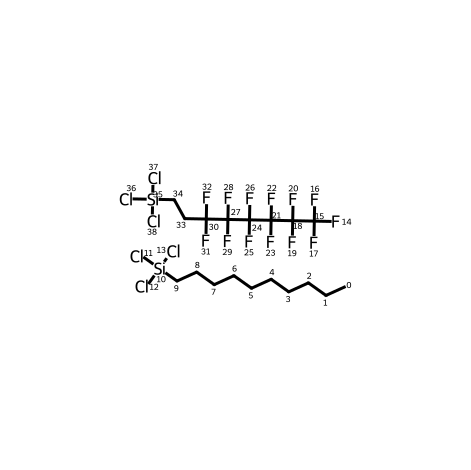 CCCCCCCCCC[Si](Cl)(Cl)Cl.FC(F)(F)C(F)(F)C(F)(F)C(F)(F)C(F)(F)C(F)(F)CC[Si](Cl)(Cl)Cl